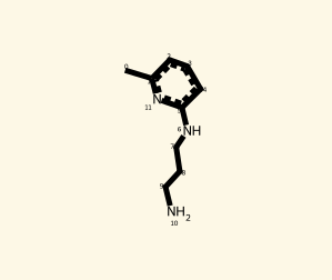 Cc1cccc(NCCCN)n1